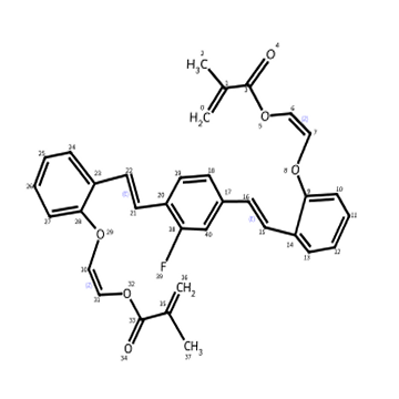 C=C(C)C(=O)O/C=C\Oc1ccccc1/C=C/c1ccc(/C=C/c2ccccc2O/C=C\OC(=O)C(=C)C)c(F)c1